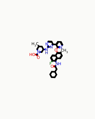 Cc1ccc2c(NC(=O)CC3CCCCC3)c(F)ccc2c1Oc1ncccc1-c1ccnc(NC2CC(C)CN(C(=O)O)C2)n1